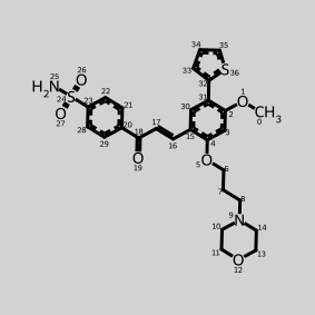 COc1cc(OCCCN2CCOCC2)c(C=CC(=O)c2ccc(S(N)(=O)=O)cc2)cc1-c1cccs1